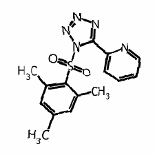 Cc1cc(C)c(S(=O)(=O)n2nnnc2-c2ccccn2)c(C)c1